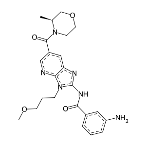 COCCCn1c(NC(=O)c2cccc(N)c2)nc2cc(C(=O)N3CCOC[C@@H]3C)cnc21